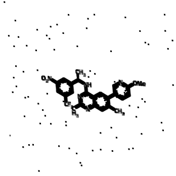 COc1ccc(-c2cc3c(N[C@H](C)c4cc([N+](=O)[O-])cc(C(F)(F)F)c4)nc(C)nc3cc2C)cn1